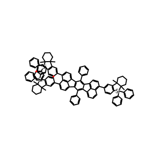 CC12CCCCC1(C)[Si](c1ccccc1)(c1ccccc1)c1ccc(-c3ccc4c5c(-c6ccccc6)c6c7ccc(-c8ccc9c(c8)C8(C)CCCCC8(C)[Si]9(c8ccccc8)c8ccccc8)c8c(-c9ccc%10c(c9)C9(C)CCCCC9(C)[Si]%10(c9ccccc9)c9ccccc9)ccc(c6c(-c6ccccc6)c5c5cccc3c54)c87)cc12